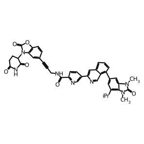 CC(C)c1cc(-c2cccc3cc(-c4ccc(C(=O)NCC#Cc5ccc6oc(=O)n(C7CCC(=O)NC7=O)c6c5)nc4)ncc23)cc2c1n(C)c(=O)n2C